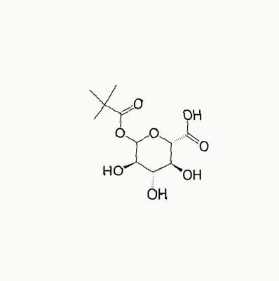 CC(C)(C)C(=O)OC1O[C@H](C(=O)O)[C@@H](O)[C@H](O)[C@H]1O